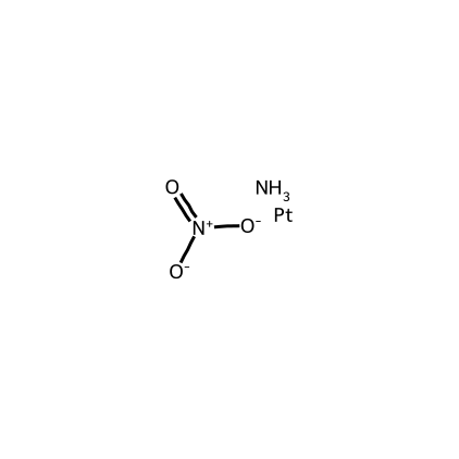 N.O=[N+]([O-])[O-].[Pt]